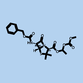 COC(=O)OC(C)OC(=O)[C@@H]1N2C(=O)[C@@H](NC(=O)OCc3ccccc3)[C@H]2SC1(C)C